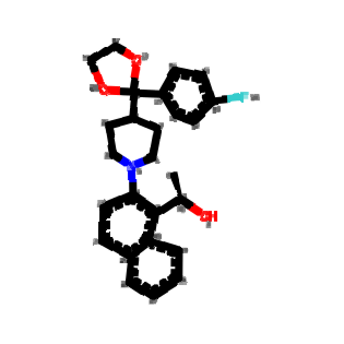 C[C@@H](O)c1c(N2CCC(C3(c4ccc(F)cc4)OCCO3)CC2)ccc2ccccc12